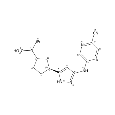 CC(C)N(C(=O)O)C1CC[C@H](c2cc(Nc3ccc(C#N)nc3)n[nH]2)C1